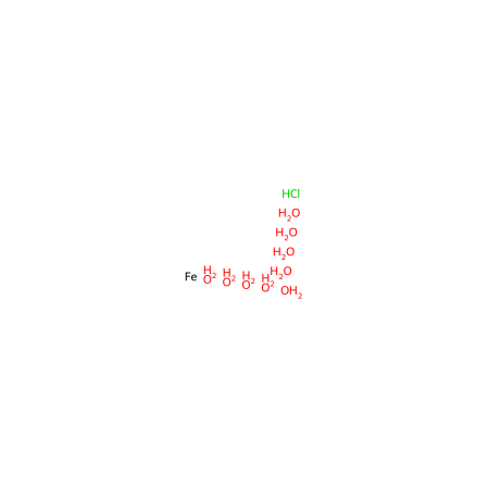 Cl.O.O.O.O.O.O.O.O.O.[Fe]